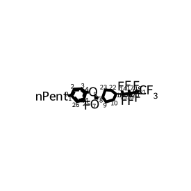 CCCCCc1ccc(OC(=O)[C@H]2CC[C@H](C(F)(F)C(F)(F)C(F)(F)C(F)(F)F)CC2)c(F)c1